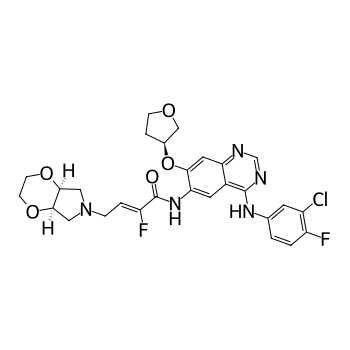 O=C(Nc1cc2c(Nc3ccc(F)c(Cl)c3)ncnc2cc1O[C@H]1CCOC1)C(F)=CCN1C[C@@H]2OCCO[C@@H]2C1